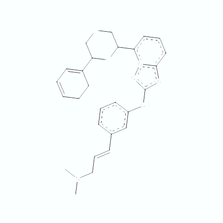 CN(C)CC=Cc1cccc(Nc2nc3cccc(C4COCC(C5=CC=CCC5)O4)n3n2)c1